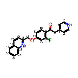 O=C(Cc1ccncc1)c1ccc(OCc2ccc3ccccc3n2)cc1F